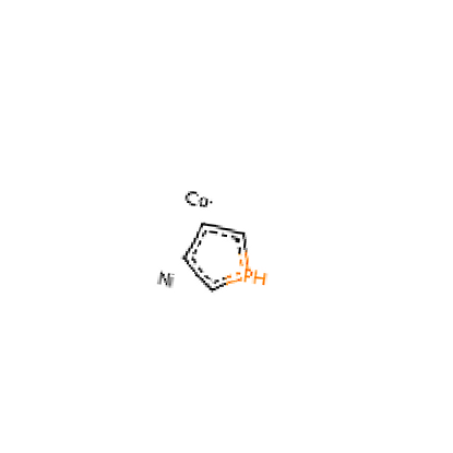 [Co].[Ni].c1cc[pH]c1